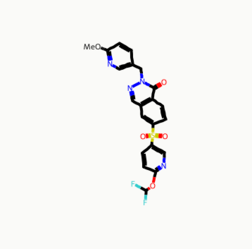 COc1ccc(Cn2ncc3cc(S(=O)(=O)c4ccc(OC(F)F)nc4)ccc3c2=O)cn1